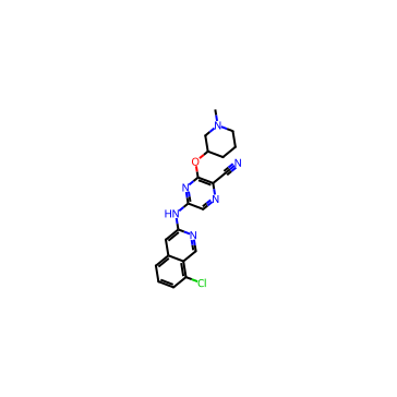 CN1CCCC(Oc2nc(Nc3cc4cccc(Cl)c4cn3)cnc2C#N)C1